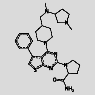 CN1CCC(N(C)CC2CCN(c3nc(N4CCCC4C(N)=O)nc4scc(-c5ccccc5)c34)CC2)C1